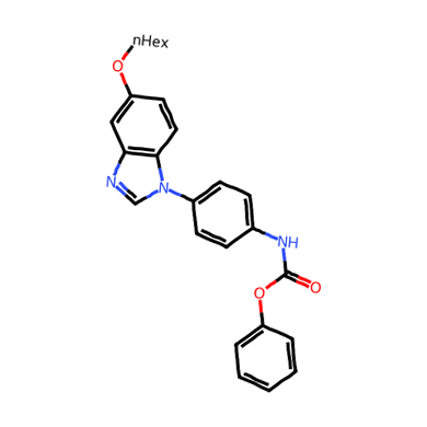 CCCCCCOc1ccc2c(c1)ncn2-c1ccc(NC(=O)Oc2ccccc2)cc1